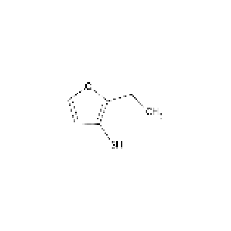 CCc1occc1S